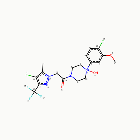 COc1cc([N+]2(O)CCN(C(=O)Cn3nc(C(F)(F)F)c(Cl)c3C)CC2)ccc1Cl